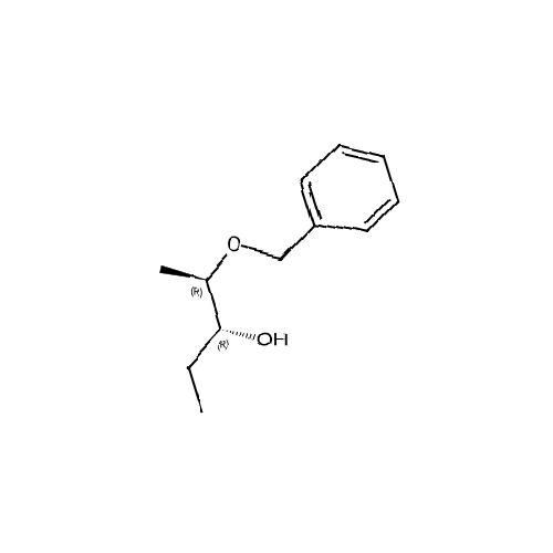 CC[C@@H](O)[C@@H](C)OCc1ccccc1